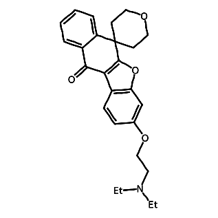 CCN(CC)CCOc1ccc2c3c(oc2c1)C1(CCOCC1)c1ccccc1C3=O